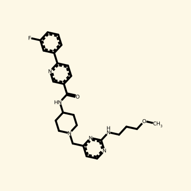 COCCCNc1nccc(CN2CCC(NC(=O)c3ccc(-c4cccc(F)c4)nc3)CC2)n1